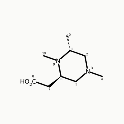 C[C@@H]1CN(C)C[C@@H](CC(=O)O)N1C